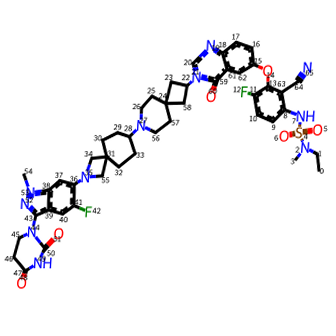 CCN(C)S(=O)(=O)Nc1ccc(F)c(Oc2ccc3ncn(C4CC5(CCN(C6CCC7(CC6)CN(c6cc8c(cc6F)c(N6CCC(=O)NC6=O)nn8C)C7)CC5)C4)c(=O)c3c2)c1C#N